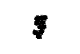 c1ccc(-c2ccc(-c3cccc4ccccc34)cc2N(c2ccc(-c3cccc(-n4c5ccccc5c5ccccc54)c3)cc2)c2cccc3c2sc2ccccc23)cc1